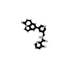 O=C(NCc1cncc(-c2cc3c4c(c2)CCN4C(=O)CC3)c1)c1ncccc1Cl